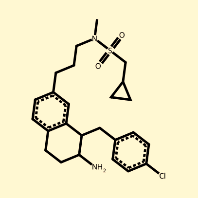 CN(CCCc1ccc2c(c1)C(Cc1ccc(Cl)cc1)C(N)CC2)S(=O)(=O)CC1CC1